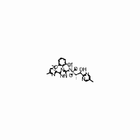 COc1cccc(OC)c1-n1c(NS(=O)(=O)[C@@H](C)[C@@H](O)c2ncc(C)cn2)nnc1-c1nc(C)cs1